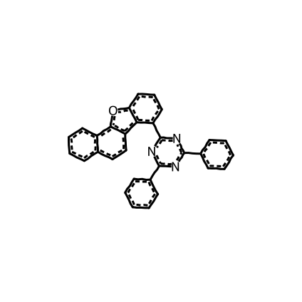 c1ccc(-c2nc(-c3ccccc3)nc(-c3cccc4oc5c6ccccc6ccc5c34)n2)cc1